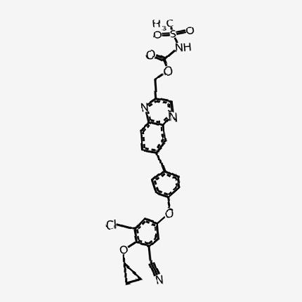 CS(=O)(=O)NC(=O)OCc1cnc2cc(-c3ccc(Oc4cc(Cl)c(OC5CC5)c(C#N)c4)cc3)ccc2n1